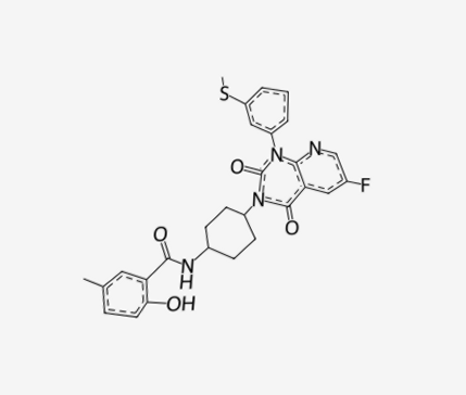 CSc1cccc(-n2c(=O)n(C3CCC(NC(=O)c4cc(C)ccc4O)CC3)c(=O)c3cc(F)cnc32)c1